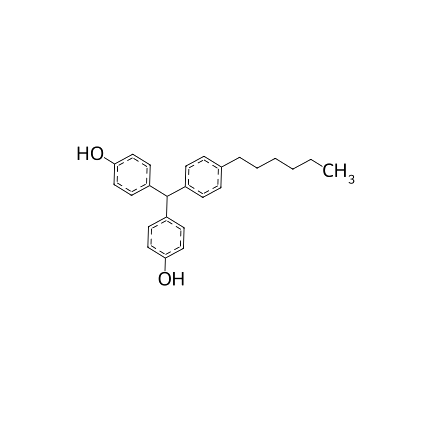 CCCCCCc1ccc(C(c2ccc(O)cc2)c2ccc(O)cc2)cc1